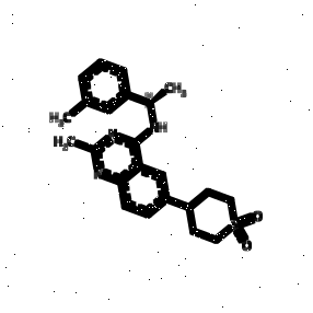 Cc1cccc([C@@H](C)Nc2nc(C)nc3ccc(C4CCS(=O)(=O)CC4)cc23)c1